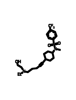 CCN(CCO)CCCC#CC1CCC(N(C)S(=O)(=O)c2ccc(C(F)(F)F)cc2)CC1